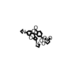 O=C(ON1C(=O)CCC1=O)c1ccc2c(c1)C1(OC2=O)c2ccc(N3CCC3)cc2Oc2cc(N3CCC3)ccc21